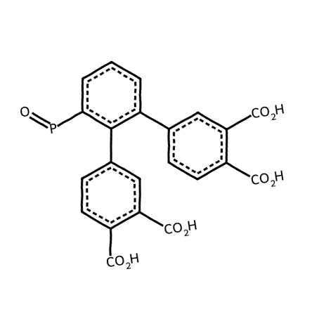 O=Pc1cccc(-c2ccc(C(=O)O)c(C(=O)O)c2)c1-c1ccc(C(=O)O)c(C(=O)O)c1